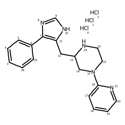 Cl.Cl.Cl.c1ccc(-c2nc[nH]c2CC2CN(c3ccccn3)CCN2)cc1